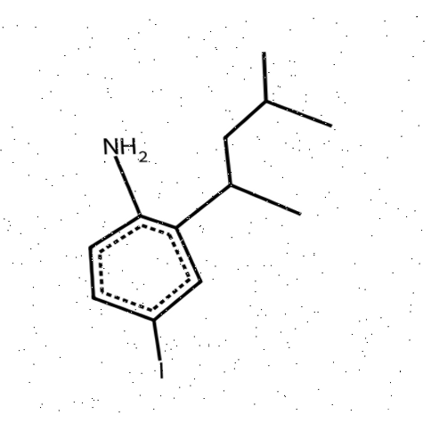 CC(C)CC(C)c1cc(I)ccc1N